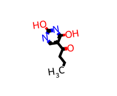 CCCC(=O)c1cnc(O)nc1O